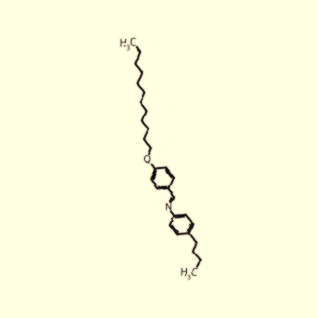 CCCCCCCCCCCCOc1ccc(C=Nc2ccc(CCCC)cc2)cc1